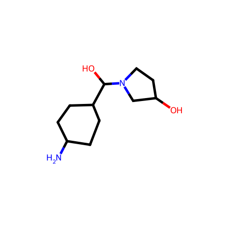 NC1CCC(C(O)N2CCC(O)C2)CC1